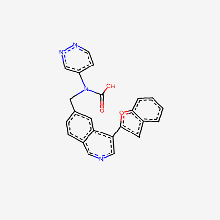 O=C(O)N(Cc1ccc2cncc(-c3cc4ccccc4o3)c2c1)c1ccnnc1